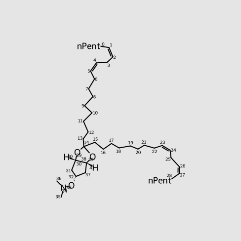 CCCCC/C=C\C/C=C\CCCCCCCCC1(CCCCCCCC/C=C\C/C=C\CCCCC)O[C@H]2C[C@@H](ON(C)C)C[C@H]2O1